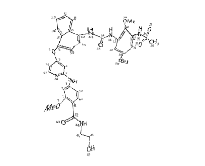 COc1cc(Nc2cc(Oc3ccc(NC(=O)Nc4cc(C(C)(C)C)cc(NS(C)(=O)=O)c4OC)c4ccccc34)ccn2)ccc1C(=O)NCCO